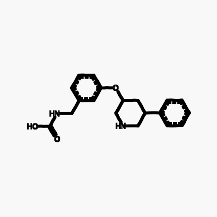 O=C(O)NCc1cccc(OC2CNCC(c3ccccc3)C2)c1